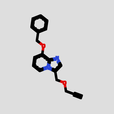 C#CCOCc1cnc2c(OCc3ccccc3)cccn12